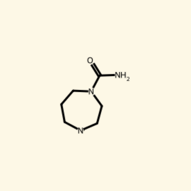 NC(=O)N1CCC[N]CC1